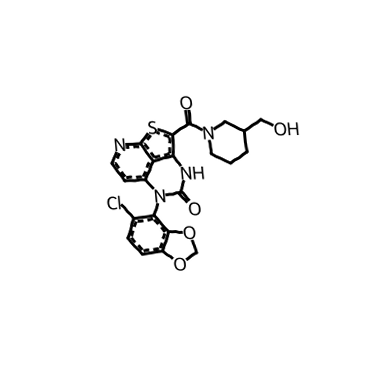 O=C(c1sc2nccc3c2c1NC(=O)N3c1c(Cl)ccc2c1OCO2)N1CCCC(CO)C1